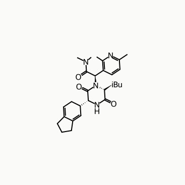 CC[C@H](C)[C@@H]1C(=O)N[C@H](C2C=C3CCCC3=CC2)C(=O)N1[C@@H](C(=O)N(C)C)c1ccc(C)nc1C